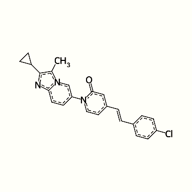 Cc1c(C2CC2)nc2ccc(-n3ccc(C=Cc4ccc(Cl)cc4)cc3=O)cn12